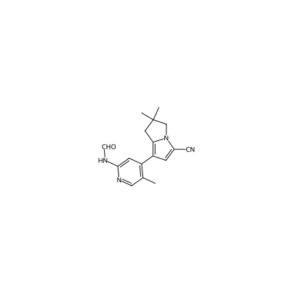 Cc1cnc(NC=O)cc1-c1cc(C#N)n2c1CC(C)(C)C2